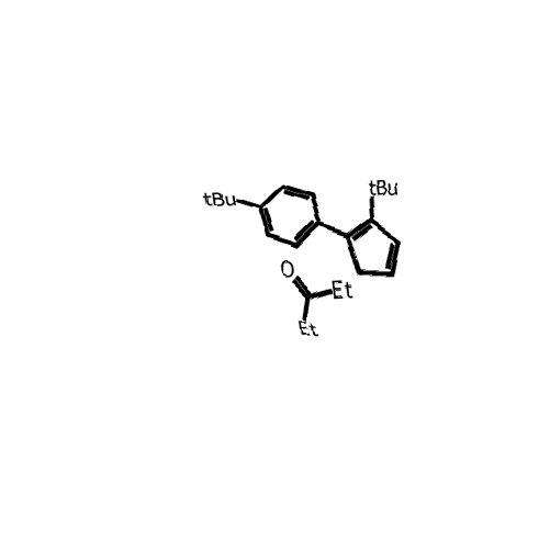 CC(C)(C)C1=C(c2ccc(C(C)(C)C)cc2)CC=C1.CCC(=O)CC